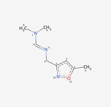 Cc1cc(CN=CN(C)C)no1